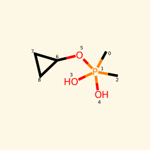 CP(C)(O)(O)OC1CC1